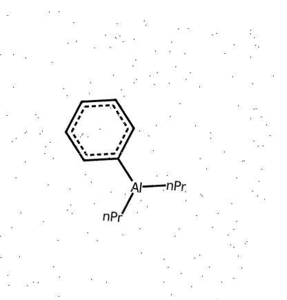 CC[CH2][Al]([CH2]CC)[c]1ccccc1